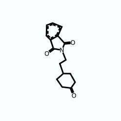 O=C1CCC(CCN2C(=O)c3ccccc3C2=O)CC1